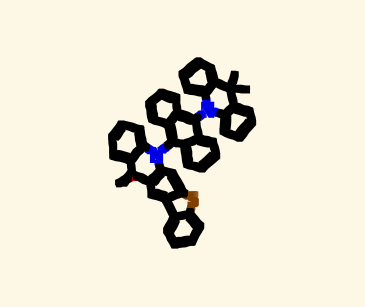 CCc1ccccc1N(c1cc2sc3ccccc3c2cc1CC)c1c2ccccc2c(N2c3ccccc3C(C)(C)c3ccccc32)c2ccccc12